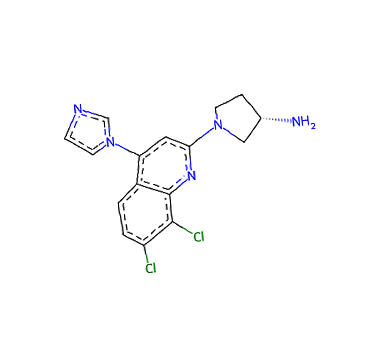 N[C@H]1CCN(c2cc(-n3ccnc3)c3ccc(Cl)c(Cl)c3n2)C1